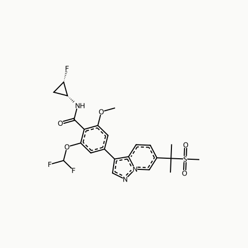 COc1cc(-c2cnn3cc(C(C)(C)S(C)(=O)=O)ccc23)cc(OC(F)F)c1C(=O)N[C@@H]1C[C@@H]1F